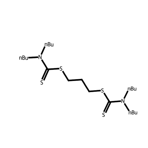 CCCCN(CCCC)C(=S)SCCCSC(=S)N(CCCC)CCCC